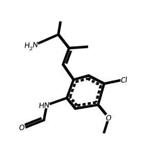 COc1cc(NC=O)c(/C=C(\C)C(C)N)cc1Cl